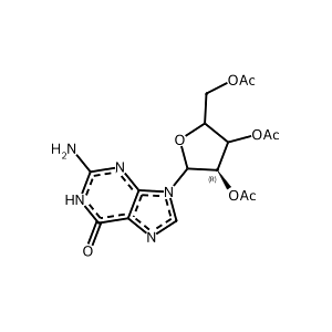 CC(=O)OCC1OC(n2cnc3c(=O)[nH]c(N)nc32)[C@H](OC(C)=O)C1OC(C)=O